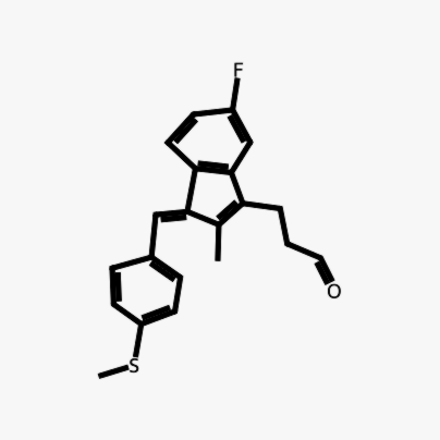 CSc1ccc(/C=C2\C(C)=C(CCC=O)c3cc(F)ccc32)cc1